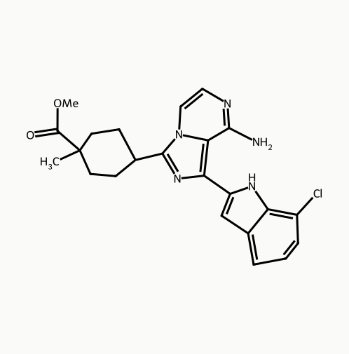 COC(=O)C1(C)CCC(c2nc(-c3cc4cccc(Cl)c4[nH]3)c3c(N)nccn23)CC1